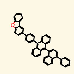 c1ccc(-c2ccc(-c3c4ccccc4c(-c4ccc(-c5ccc6oc7ccccc7c6c5)cc4)c4ccccc34)c3ccccc23)cc1